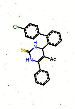 CC(=O)C1=C(c2ccccc2)NC(=S)NC1c1ccccc1-c1ccc(Cl)cc1